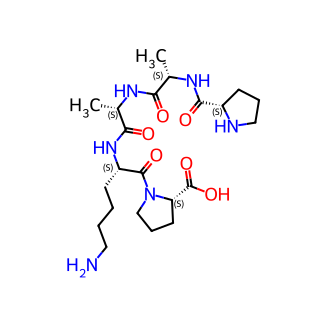 C[C@H](NC(=O)[C@H](C)NC(=O)[C@@H]1CCCN1)C(=O)N[C@@H](CCCCN)C(=O)N1CCC[C@H]1C(=O)O